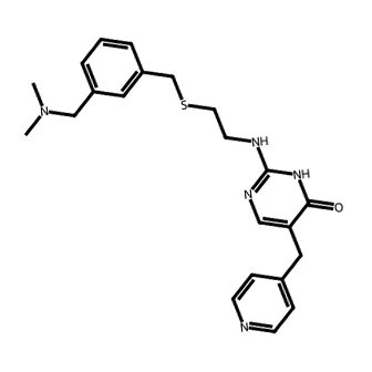 CN(C)Cc1cccc(CSCCNc2ncc(Cc3ccncc3)c(=O)[nH]2)c1